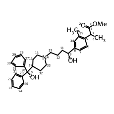 COC(=O)C(C)c1ccc([C@@H](O)CCCN2CCC(C(O)(c3ccccc3)c3ccccc3)CC2)cc1C